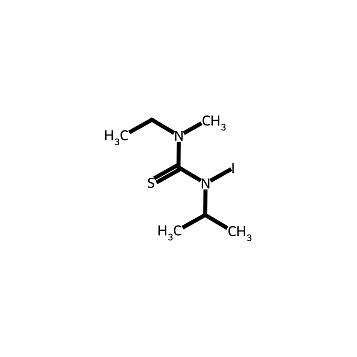 CCN(C)C(=S)N(I)C(C)C